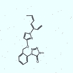 C=C/C(=C\C=C/C)n1ccc(OCc2ccccc2-n2nnn(C)c2=O)n1